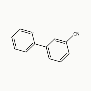 N#Cc1cccc(-c2[c]cccc2)c1